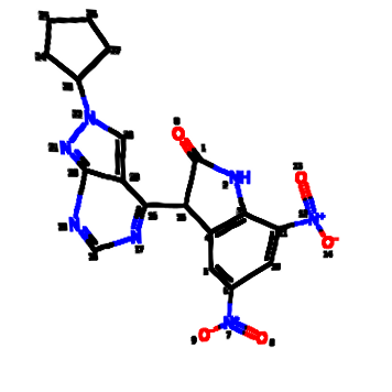 O=C1Nc2c(cc([N+](=O)[O-])cc2[N+](=O)[O-])C1c1ncnc2nn(C3CCCC3)cc12